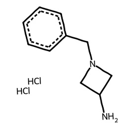 Cl.Cl.NC1CN(Cc2ccccc2)C1